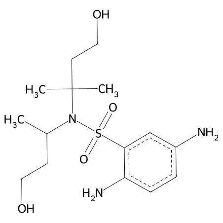 CC(CCO)N(C(C)(C)CCO)S(=O)(=O)c1cc(N)ccc1N